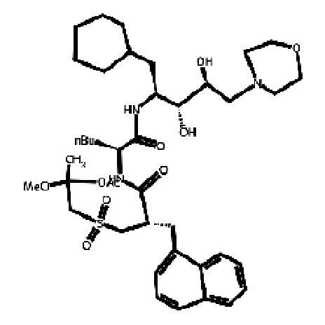 CCCC[C@H](NC(=O)[C@H](Cc1cccc2ccccc12)CS(=O)(=O)CC(C)(OC)OC(C)=O)C(=O)N[C@@H](CC1CCCCC1)[C@@H](O)[C@@H](O)CN1CCOCC1